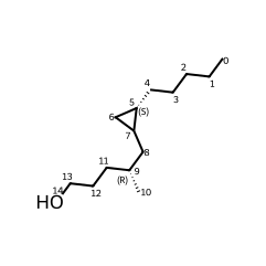 CCCCC[C@H]1CC1C[C@H](C)CCCO